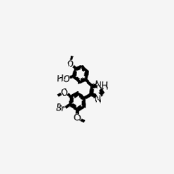 COc1ccc(-c2[nH]cnc2-c2cc(OC)c(Br)c(OC)c2)cc1O